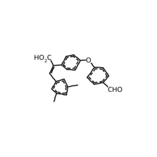 Cc1cc(C)cc(C=C(C(=O)O)c2ccc(Oc3ccc(C=O)cc3)cc2)c1